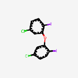 Clc1ccc(I)c(Oc2cc(Cl)ccc2I)c1